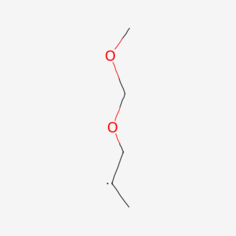 C[CH]COCOC